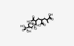 CC(CC(CC(CP(=O)(O)CC(C)P(=O)(O)O)C(=O)O)C(=O)O)C(=O)O